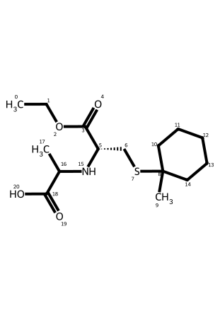 CCOC(=O)[C@H](CSC1(C)CCCCC1)NC(C)C(=O)O